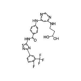 O=C(Nc1nc(-c2ccc(F)c(C(F)(F)F)c2)ns1)c1ccc(Nc2cc(NCCC(O)O)ncn2)cc1